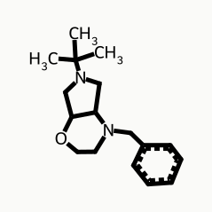 CC(C)(C)N1CC2OCCN(Cc3ccccc3)C2C1